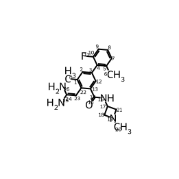 Cc1cc(-c2c(C)cccc2F)cc(C(=O)NC2CN(C)C2)c1C=C(N)N